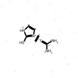 C=C.NC(N)=S.Sc1ncc[nH]1